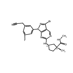 CNC(=O)[C@]1(C)CC[C@@H](Nc2ncc3c(Br)nn(-c4cc(F)cc(CC#N)c4)c3n2)C1